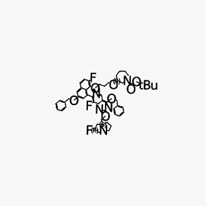 CC(C)(C)OC(=O)N1CCCC[C@@H](OCCCOc2c(F)ccc3cc(OCc4ccccc4)cc(-c4ncc5c(OCc6ccccc6)nc(OC[C@@]67CCCN6C[C@H](F)C7)nc5c4F)c23)C1